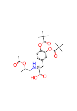 CC(=O)OC(C)CN[C@@H](Cc1ccc(OC(=O)C(C)(C)C)c(OC(=O)C(C)(C)C)c1)C(=O)O